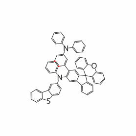 c1ccc(N(c2ccccc2)c2cccc(-c3cc4c(cc3N(c3ccccc3)c3ccc5sc6ccccc6c5c3)-c3ccccc3C43c4ccccc4Oc4ccccc43)c2)cc1